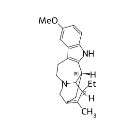 CC[C@H]1C(C)=C2C[C@H]3c4[nH]c5ccc(OC)cc5c4CCN(C2)C13